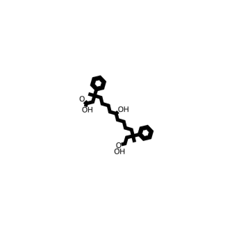 CC(CCCCC(O)CCCCC(C)(CC(=O)O)c1ccccc1)(CCOO)c1ccccc1